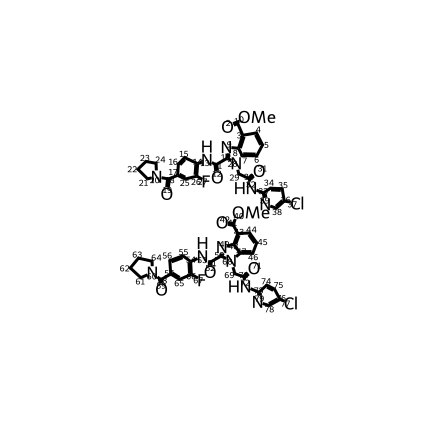 COC(=O)c1cccc2c1nc(C(=O)Nc1ccc(C(=O)N3CCCC3)cc1F)n2CC(=O)Nc1ccc(Cl)cn1.COC(=O)c1cccc2c1nc(C(=O)Nc1ccc(C(=O)N3CCCC3)cc1F)n2CC(=O)Nc1ccc(Cl)cn1